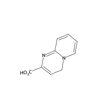 O=C(O)C1=CCN2C=CC=CC2=N1